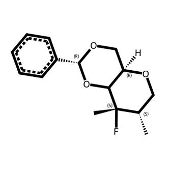 C[C@H]1CO[C@@H]2CO[C@@H](c3ccccc3)OC2[C@@]1(C)F